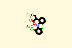 CC(=O)OOC(=O)C(CC(Cl)(Cl)Cl)c1ccccc1Nc1c(Cl)cccc1Cl